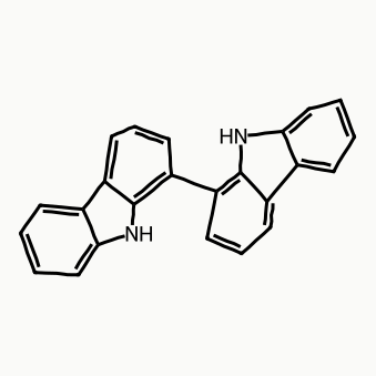 c1ccc2c(c1)[nH]c1c(-c3cccc4c3[nH]c3ccccc34)cccc12